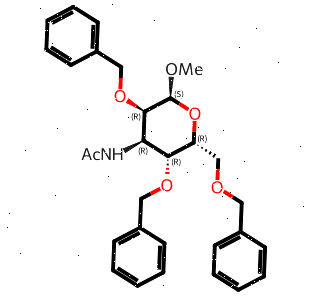 CO[C@H]1O[C@H](COCc2ccccc2)[C@H](OCc2ccccc2)[C@@H](NC(C)=O)[C@H]1OCc1ccccc1